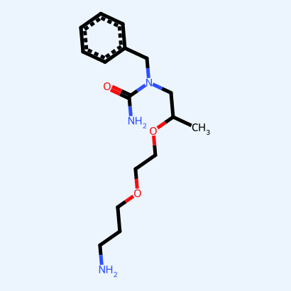 CC(CN(Cc1ccccc1)C(N)=O)OCCOCCCN